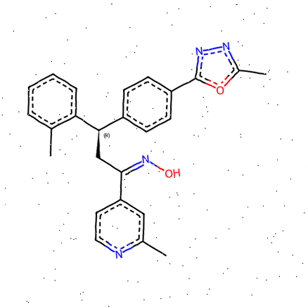 Cc1cc(C(C[C@H](c2ccc(-c3nnc(C)o3)cc2)c2ccccc2C)=NO)ccn1